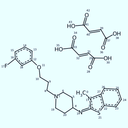 Cn1c(=NC2CCN(CCCOc3cccc(F)c3)CC2)sc2ccccc21.O=C(O)C=CC(=O)O.O=C(O)C=CC(=O)O